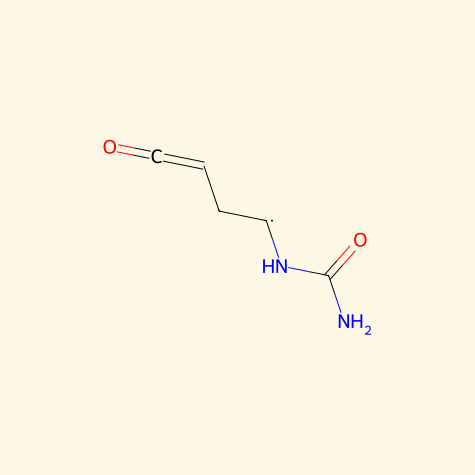 NC(=O)N[CH]CC=C=O